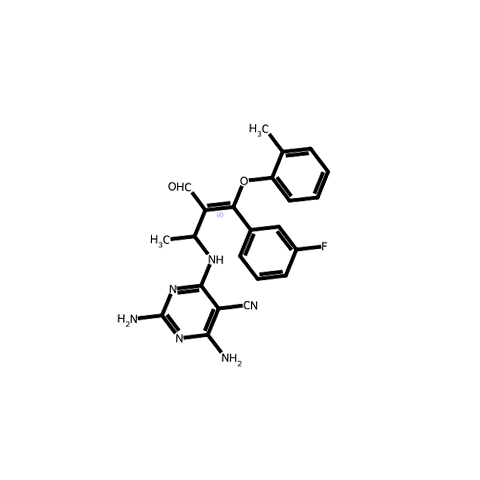 Cc1ccccc1O/C(=C(\C=O)C(C)Nc1nc(N)nc(N)c1C#N)c1cccc(F)c1